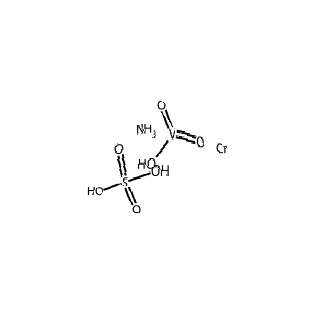 N.O=S(=O)(O)O.[Cr].[O]=[V](=[O])[OH]